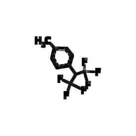 Cc1ccc(C(C(F)(F)F)C(F)(F)F)cc1